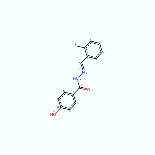 Cc1ccccc1/C=N/NC(=O)c1ccc(O)cc1